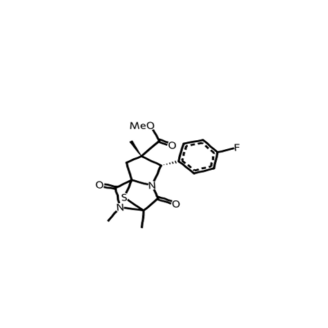 COC(=O)[C@@]1(C)CC23SC(C)(C(=O)N2[C@H]1c1ccc(F)cc1)N(C)C3=O